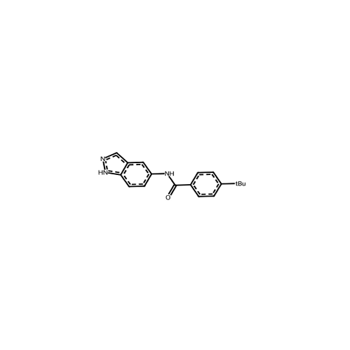 CC(C)(C)c1ccc(C(=O)Nc2ccc3[nH]ncc3c2)cc1